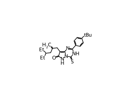 C=C(Cc1c(=O)[nH]n2c(=S)[nH]c(-c3ccc(C(C)(C)C)cc3)nc12)CC(CC)CC